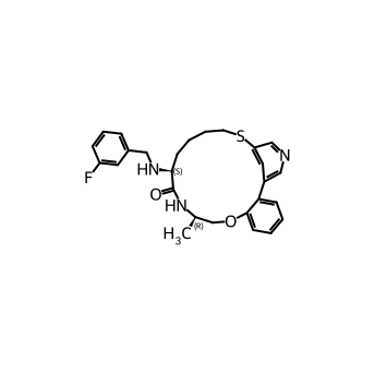 C[C@@H]1COc2ccccc2-c2cncc(c2)SCCCC[C@H](NCc2cccc(F)c2)C(=O)N1